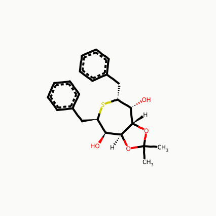 CC1(C)O[C@H]2[C@@H](O)[C@@H](Cc3ccccc3)S[C@H](Cc3ccccc3)[C@H](O)[C@@H]2O1